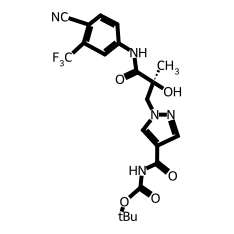 CC(C)(C)OC(=O)NC(=O)c1cnn(C[C@](C)(O)C(=O)Nc2ccc(C#N)c(C(F)(F)F)c2)c1